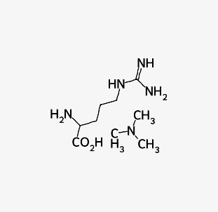 CN(C)C.N=C(N)NCCCC(N)C(=O)O